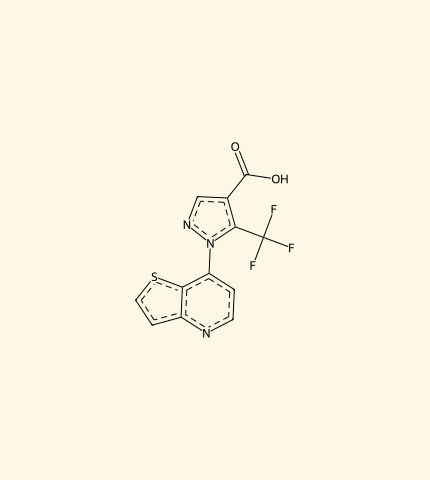 O=C(O)c1cnn(-c2ccnc3ccsc23)c1C(F)(F)F